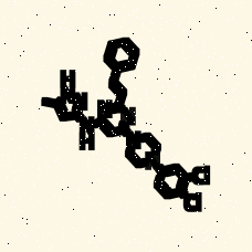 Cc1cc(Nc2cc(N3CCN(c4ccc(Cl)c(Cl)c4)CC3)nc(/C=C/c3ccccc3)n2)n[nH]1